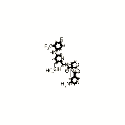 Cl.Cl.Nc1cncc(C(=O)NC2(C(=O)NCc3ncc(Nc4ccc(F)cc4C(F)(F)F)cc3F)CCOC2)c1